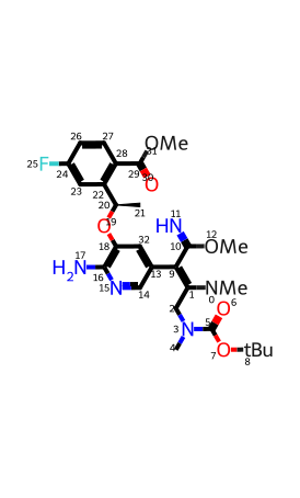 CN/C(CN(C)C(=O)OC(C)(C)C)=C(\C(=N)OC)c1cnc(N)c(O[C@H](C)c2cc(F)ccc2C(=O)OC)c1